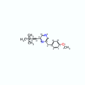 COc1ccc(Cc2cncc(C#C[Si](C)(C)C)n2)cc1